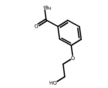 CC(C)(C)C(=O)c1cccc(OCCO)c1